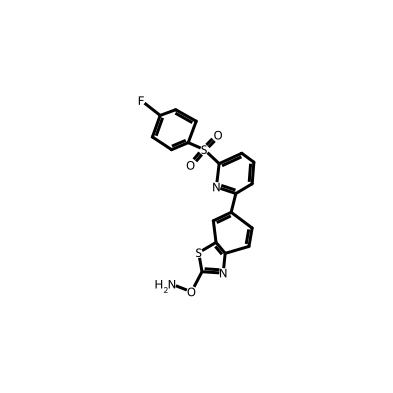 NOc1nc2ccc(-c3cccc(S(=O)(=O)c4ccc(F)cc4)n3)cc2s1